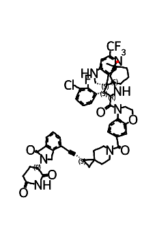 CC1(C)CCC[C@@]2(C1)N[C@@H](C(=O)N1CCOc3cc(C(=O)N4CCC5(CC4)C[C@@H]5C#Cc4cccc5c4CN([C@H]4CCC(=O)NC4=O)C5=O)ccc31)[C@H](c1cccc(Cl)c1F)[C@]21CNc2cc(C(F)(F)F)ncc21